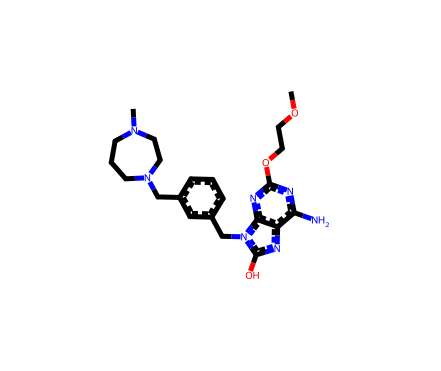 COCCOc1nc(N)c2nc(O)n(Cc3cccc(CN4CCCN(C)CC4)c3)c2n1